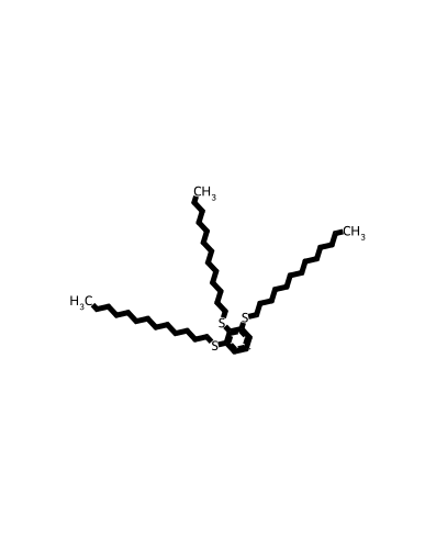 CCCCCCCCCCCCCSc1c[c]cc(SCCCCCCCCCCCCC)c1SCCCCCCCCCCCCC